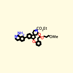 CCOC(=O)N1CCC2(CC1)CC(Oc1ccccc1CC(=O)OCCCOC)c1cc(-c3ccc4ccnc(N)c4c3)ccc12